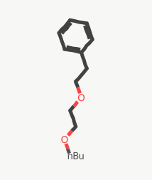 CCCCOCCOCCc1ccccc1